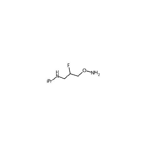 CC(C)NCC(F)CON